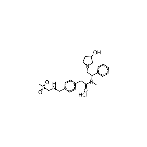 CN(C(=O)Cc1ccc(CNCS(C)(=O)=O)cc1)C(CN1CCC(O)C1)c1ccccc1.Cl